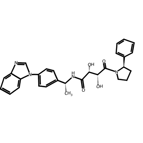 C[C@@H](NC(=O)[C@H](O)[C@@H](O)C(=O)N1CCC[C@@H]1c1ccccc1)c1ccc(-n2cnc3ccccc32)cc1